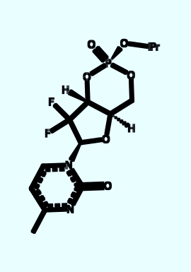 Cc1ccn([C@@H]2O[C@@H]3CO[P@](=O)(OC(C)C)O[C@H]3C2(F)F)c(=O)n1